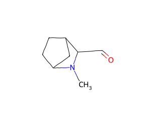 CN1C2CCC(C2)C1C=O